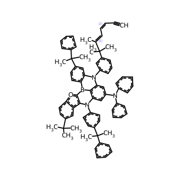 C#C/C=C\C=C(/C)C(C)(C)c1cccc(N2c3cc(C(C)(C)c4ccccc4)ccc3B3c4oc5ccc(C(C)(C)C)cc5c4N(c4ccc(C(C)(C)c5ccccc5)cc4)c4cc(N(c5ccccc5)c5ccccc5)cc2c43)c1